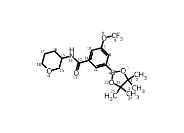 CC1(C)OB(c2cc(OC(F)(F)F)cc(C(=O)NC3CCCOC3)c2)OC1(C)C